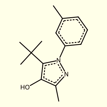 Cc1cccc(-n2nc(C)c(O)c2C(C)(C)C)c1